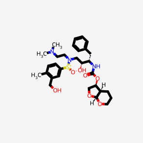 Cc1ccc([S+]([O-])N(CCN(C)C)C[C@@H](O)[C@H](Cc2ccccc2)NC(=O)O[C@@H]2CO[C@@H]3OCCC[C@@H]32)cc1CO